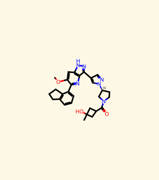 COc1cc2[nH]nc(-c3cnn([C@H]4CCN(C(=O)C5CC(C)(O)C5)C4)c3)c2nc1-c1cccc2c1CCC2